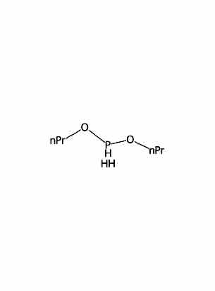 CCCOPOCCC.[HH]